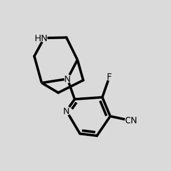 N#Cc1ccnc(N2C3CCC2CNC3)c1F